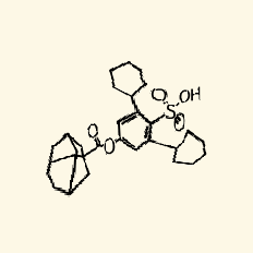 O=C(Oc1cc(C2CCCCC2)c(S(=O)(=O)O)c(C2CCCCC2)c1)C12CC3CC(CC(C3)C1)C2